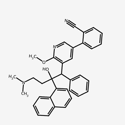 COc1ncc(-c2ccccc2C#N)cc1C(c1ccccc1)C(O)(CCN(C)C)c1cccc2ccccc12